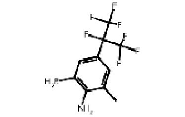 Bc1cc(C(F)(C(F)(F)F)C(F)(F)F)cc(C)c1N